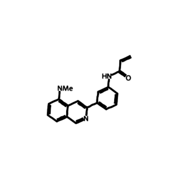 C=CC(=O)Nc1cccc(-c2cc3c(NC)cccc3cn2)c1